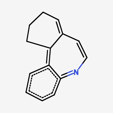 C1=CC2=CCCCC2=c2ccccc2=N1